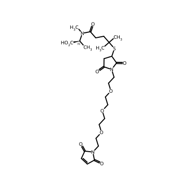 C[C@@H](C(=O)O)N(C)C(=O)CCC(C)(C)SC1CC(=O)N(CCOCCOCCOCCN2C(=O)C=CC2=O)C1=O